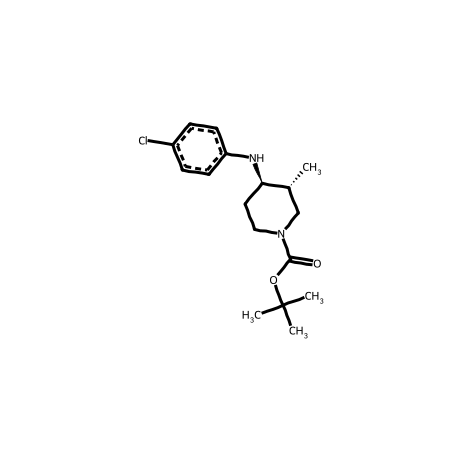 C[C@@H]1CN(C(=O)OC(C)(C)C)CC[C@H]1Nc1ccc(Cl)cc1